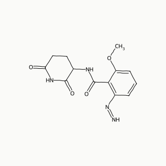 COc1cccc(N=N)c1C(=O)NC1CCC(=O)NC1=O